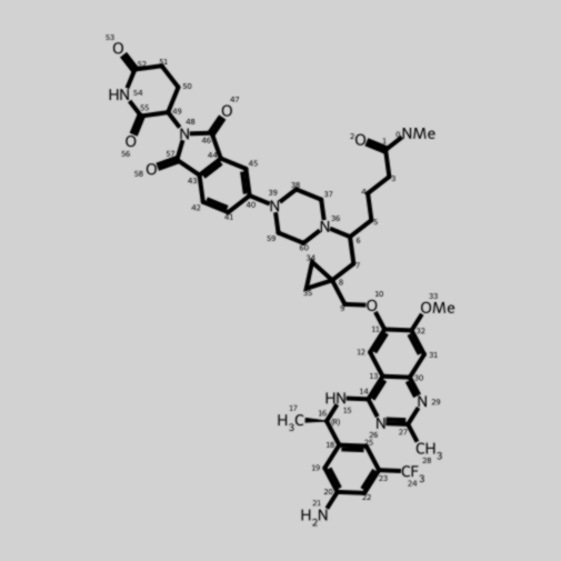 CNC(=O)CCCC(CC1(COc2cc3c(N[C@H](C)c4cc(N)cc(C(F)(F)F)c4)nc(C)nc3cc2OC)CC1)N1CCN(c2ccc3c(c2)C(=O)N(C2CCC(=O)NC2=O)C3=O)CC1